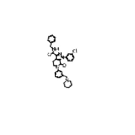 O=C(NCc1ccccc1)c1nn(-c2cccc(Cl)c2)c2c1CCN(c1cccc(CN3CCCCC3)c1)C2=O